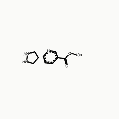 C1CNNC1.CC(C)(C)OC(=O)c1cccnc1